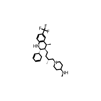 CNC1CCN(C[C@H](C)CC[C@@H]2[C@H](C)c3cc(C(F)(F)F)ccc3N[C@H]2C2C=CC=CC2)CC1